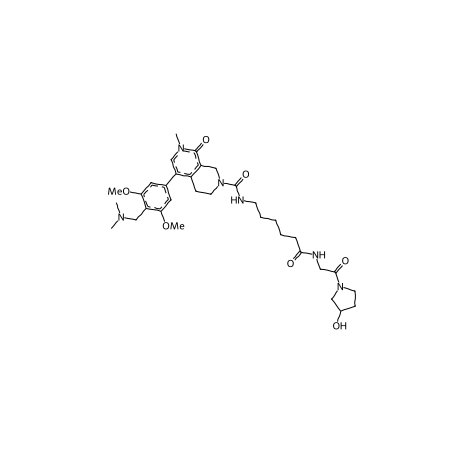 COc1cc(-c2cn(C)c(=O)c3c2CCN(C(=O)NCCCCCC(=O)NCC(=O)N2CCC(O)C2)C3)cc(OC)c1CN(C)C